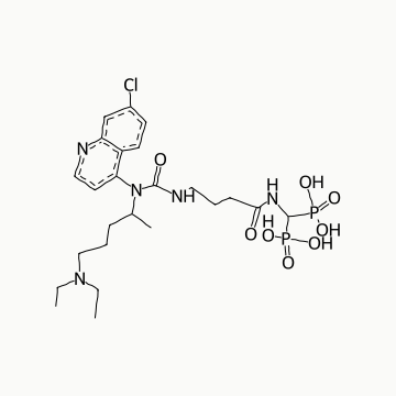 CCN(CC)CCCC(C)N(C(=O)NCCCC(=O)NC(P(=O)(O)O)P(=O)(O)O)c1ccnc2cc(Cl)ccc12